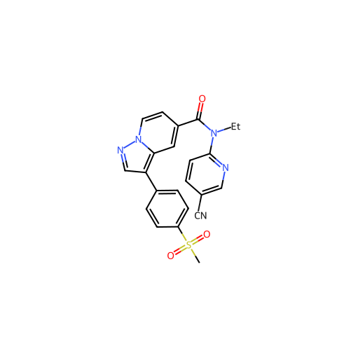 CCN(C(=O)c1ccn2ncc(-c3ccc(S(C)(=O)=O)cc3)c2c1)c1ccc(C#N)cn1